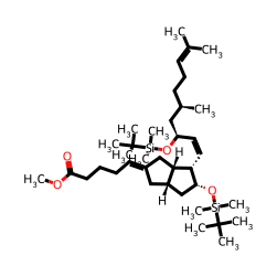 COC(=O)CCC/C=C1\C[C@H]2C[C@@H](O[Si](C)(C)C(C)(C)C)[C@@H](/C=C\[C@H](C[C@H](C)CCC=C(C)C)O[Si](C)(C)C(C)(C)C)[C@H]2C1